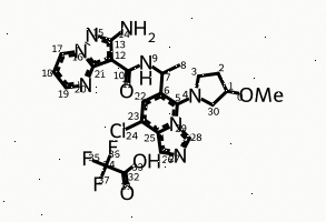 COC1CCN(c2c(C(C)NC(=O)c3c(N)nn4cccnc34)cc(Cl)c3cncn23)C1.O=C(O)C(F)(F)F